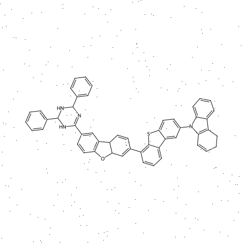 C1=Cc2c(c3ccccc3n2-c2ccc3sc4c(C5=CC6Oc7ccc(C8=NC(c9ccccc9)NC(c9ccccc9)N8)cc7C6C=C5)cccc4c3c2)CC1